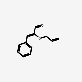 C=CCOC(C=O)=Cc1ccccc1